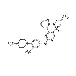 C=CCN1c2ncccc2-c2nc(Nc3ccc(N4CCN(C)CC4)c(C)c3)ncc2S1(=O)=O